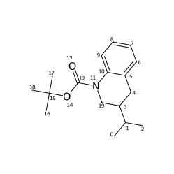 CC(C)C1Cc2ccccc2N(C(=O)OC(C)(C)C)C1